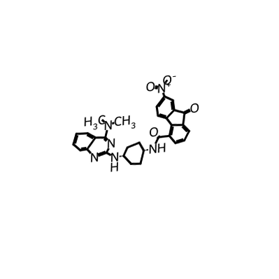 CN(C)c1nc(N[C@H]2CC[C@@H](NC(=O)c3cccc4c3-c3ccc([N+](=O)[O-])cc3C4=O)CC2)nc2ccccc12